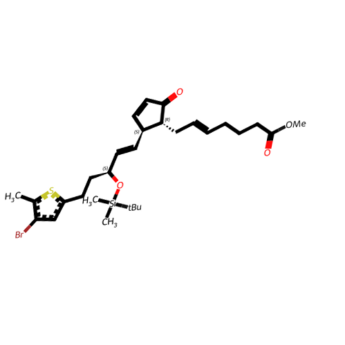 COC(=O)CCCC=CC[C@H]1C(=O)C=C[C@@H]1C=C[C@H](CCc1cc(Br)c(C)s1)O[Si](C)(C)C(C)(C)C